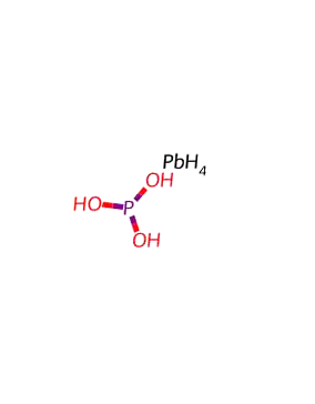 OP(O)O.[PbH4]